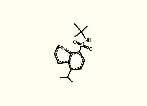 CC(C)c1ccc(S(=O)(=O)NC(C)(C)C)c2ncccc12